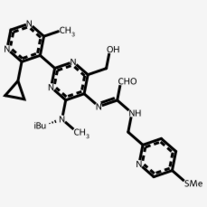 CC[C@@H](C)N(C)c1nc(-c2c(C)ncnc2C2CC2)nc(CO)c1/N=C(\C=O)NCc1ccc(SC)cn1